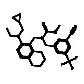 CCN(CC1CC1)c1ccc2c(c1CN(Cc1cc(C#N)cc(C(F)(F)F)c1)C(=O)OC)CCCC2